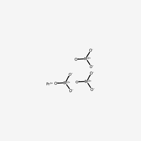 [O-][Br+2]([O-])[O-].[O-][Br+2]([O-])[O-].[O-][Br+2]([O-])[O-].[Pr+3]